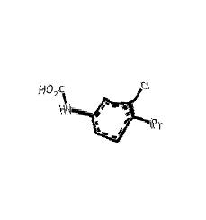 CC(C)c1ccc(NC(=O)O)cc1Cl